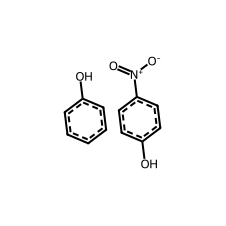 O=[N+]([O-])c1ccc(O)cc1.Oc1ccccc1